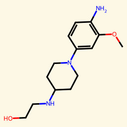 COc1cc(N2CCC(NCCO)CC2)ccc1N